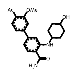 COc1cc(-c2ccc(C(N)=O)c(NC3CCC(O)CC3)c2)ccc1C(C)=O